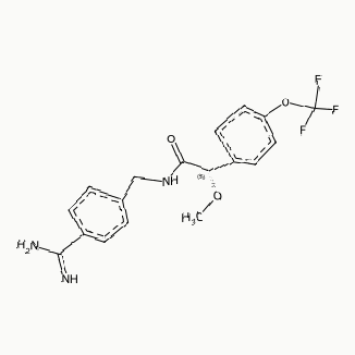 CO[C@H](C(=O)NCc1ccc(C(=N)N)cc1)c1ccc(OC(F)(F)F)cc1